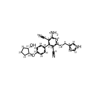 N#Cc1c(N)nc(SCc2c[nH]cn2)c(C#N)c1-c1ccc(O[C@H]2CCC[C@@H]2O)cc1